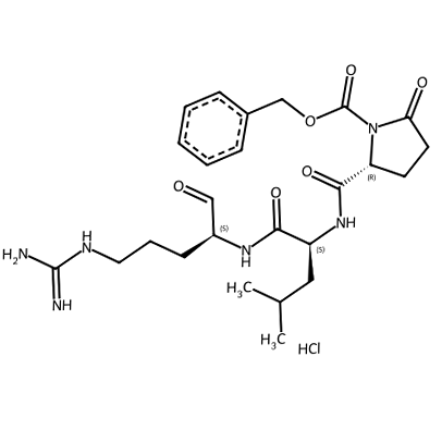 CC(C)C[C@H](NC(=O)[C@H]1CCC(=O)N1C(=O)OCc1ccccc1)C(=O)N[C@H](C=O)CCCNC(=N)N.Cl